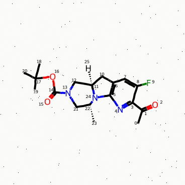 CC(=O)c1nc2c(cc1F)C[C@@H]1CN(C(=O)OC(C)(C)C)C[C@@H](C)N21